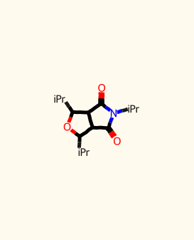 CC(C)C1OC(C(C)C)C2C(=O)N(C(C)C)C(=O)C12